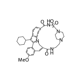 COc1ccc2c(c1)C=C1Cn3c-2c(C2CCCCC2)c2ccc(cc23)C(=O)NS(=O)(=O)N2CCN(CCNC1=O)CC2